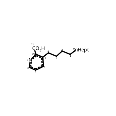 CCCCCCCCCCCc1cccnc1C(=O)O